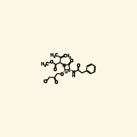 C=C(C)C(C(=O)OC)N1C(=O)[C@H](NC(=O)Cc2ccccc2)[C@@H]1OCC(=O)CCl